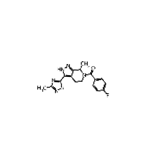 Cc1nsc(-c2[nH]nc3c2CCN(C(=O)c2ccc(F)cc2)[C@@H]3C)n1